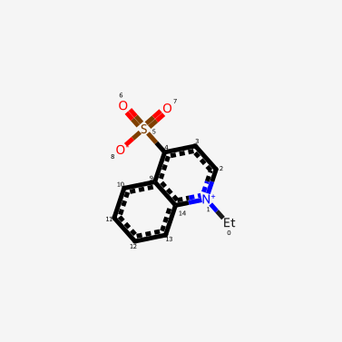 CC[n+]1ccc(S(=O)(=O)[O-])c2ccccc21